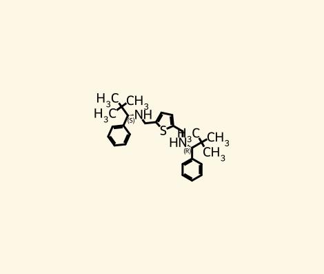 CC(C)(C)[C@H](NCc1ccc(CN[C@@H](c2ccccc2)C(C)(C)C)s1)c1ccccc1